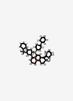 CC1(C)c2ccccc2-c2cc(N(c3ccc(-c4ccccc4)cc3)c3ccc4ccc5oc6cccnc6c5c4c3)c(-c3ccccc3)cc21